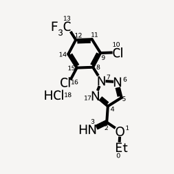 CCOC(=N)c1cnn(-c2c(Cl)cc(C(F)(F)F)cc2Cl)n1.Cl